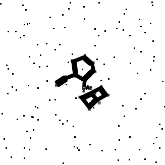 C#Cc1ccccc1OC(C)=O.c1cc2ccc1-2